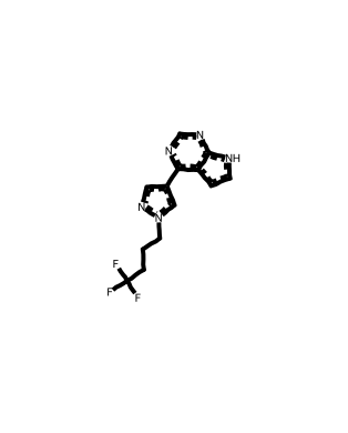 FC(F)(F)CCCn1cc(-c2ncnc3[nH]ccc23)cn1